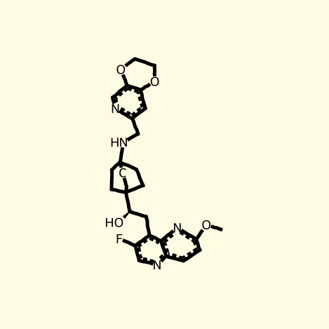 COc1ccc2ncc(F)c(C[C@@H](O)C34CCC(NCc5cc6c(cn5)OCCO6)(CC3)CC4)c2n1